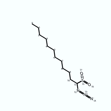 CCCCCCCC[CH]CCC(N=[N+]=[N-])[SH](=O)=O